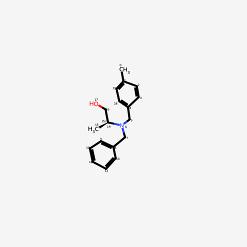 Cc1ccc(CN(Cc2ccccc2)[C@@H](C)CO)cc1